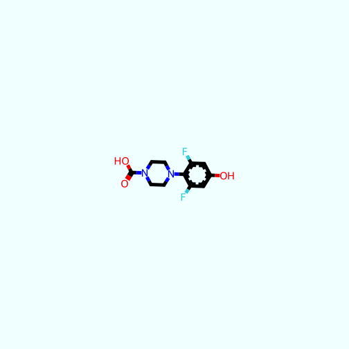 O=C(O)N1CCN(c2c(F)cc(O)cc2F)CC1